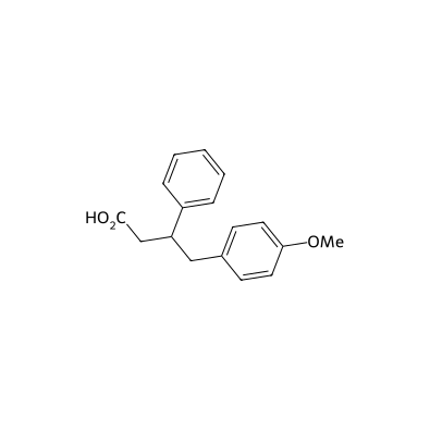 COc1ccc(CC(CC(=O)O)c2ccccc2)cc1